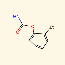 CCc1ccccc1OC([NH])=O